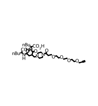 C#CCOCCOCCOCCOCCC(=O)N1CCN(CC(CC(=O)N[C@@H](CCCC)C(=O)O)C(=O)N[C@@H](CCCC)C(=O)O)CC1